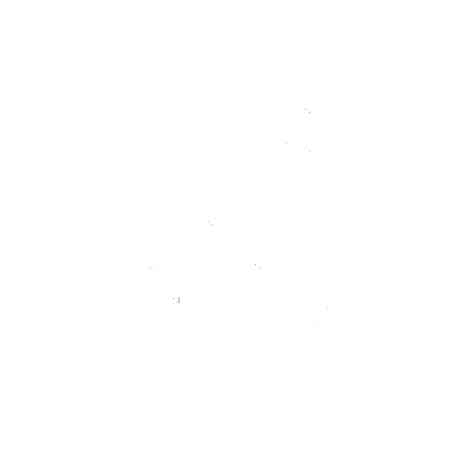 Cc1ncn(-c2cc(Cl)c(C(=O)NCC(c3ccc(=O)[nH]c3)c3nc4ccc(Cl)cc4[nH]3)c(Cl)c2)n1.O=C(O)C(F)(F)F